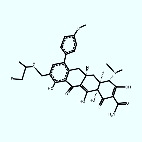 COc1ccc(-c2cc(CNC(C)CF)c(O)c3c2C[C@H]2C[C@H]4[C@H](N(C)C)C(O)=C(C(N)=O)C(=O)[C@@]4(O)C(O)=C2C3=O)cc1